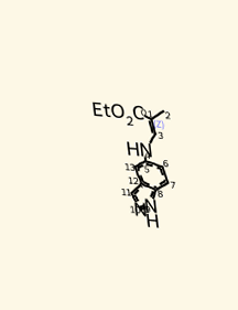 CCOC(=O)/C(C)=C\Nc1ccc2[nH]ncc2c1